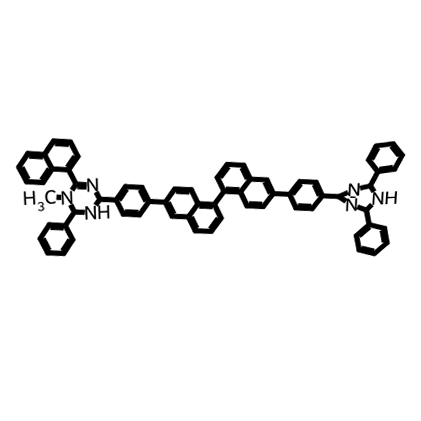 CN1C(c2cccc3ccccc23)=NC(c2ccc(-c3ccc4c(-c5cccc6cc(-c7ccc(C8N9C(c%10ccccc%10)NC(c%10ccccc%10)N89)cc7)ccc56)cccc4c3)cc2)NC1c1ccccc1